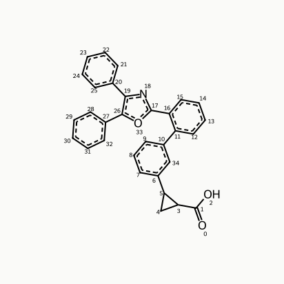 O=C(O)C1CC1c1cccc(-c2ccccc2-c2nc(-c3ccccc3)c(-c3ccccc3)o2)c1